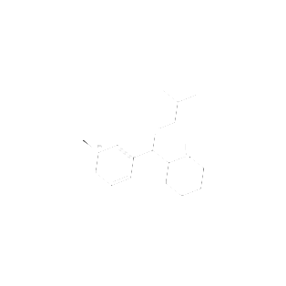 CC(C)COC(C1=C[C@H](C)CC=C1)C1CCCCN1